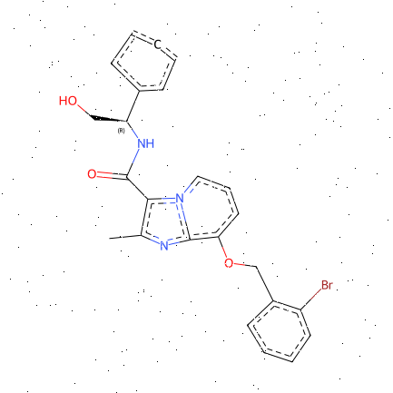 Cc1nc2c(OCc3ccccc3Br)cccn2c1C(=O)N[C@@H](CO)c1ccccc1